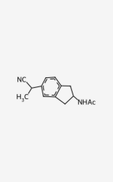 CC(=O)NC1Cc2ccc(C(C)C#N)cc2C1